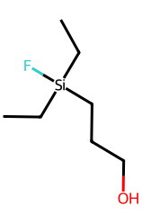 CC[Si](F)(CC)CCCO